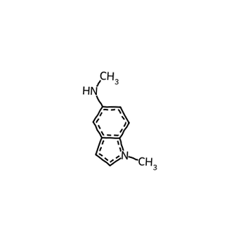 CNc1ccc2c(ccn2C)c1